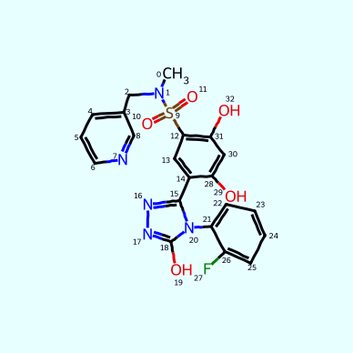 CN(Cc1cccnc1)S(=O)(=O)c1cc(-c2nnc(O)n2-c2ccccc2F)c(O)cc1O